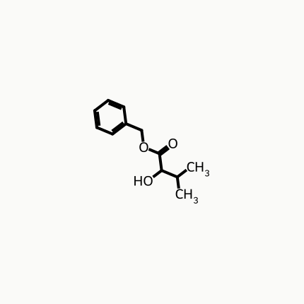 CC(C)C(O)C(=O)OCc1ccccc1